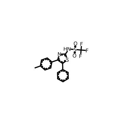 Cc1ccc(-c2nc(NS(=O)(=O)C(F)(F)F)sc2-c2ccccc2)cc1